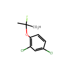 CC(F)(Oc1ccc(Cl)cc1Cl)C(=O)O